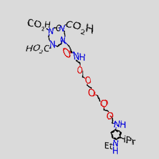 CCNc1ccc(NCCOCCOCCOCCOCCOCCNC(=O)CN2CCN(CC(=O)O)CCN(CC(=O)O)CCN(CC(=O)O)CC2)cc1C(C)C